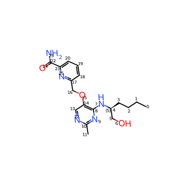 CCCC[C@@H](CO)Nc1nc(C)ncc1OCc1cccc(C(N)=O)n1